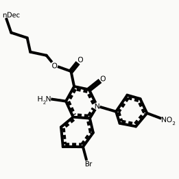 CCCCCCCCCCCCCCOC(=O)c1c(N)c2ccc(Br)cc2n(-c2ccc([N+](=O)[O-])cc2)c1=O